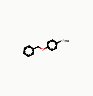 CCCCCc1ccc(OCc2ccccc2)cc1